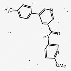 COc1ccc(NC(=O)c2cncc(-c3ccc(C)cc3)c2)cn1